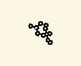 c1ccc(-c2cc(-c3ccccc3)nc(-c3cccc(-c4ccc5c(-c6ccc7ccccc7c6)c6ccccc6c(-c6ccc7ccccc7c6)c5c4)c3)c2)cc1